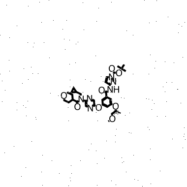 COC[C@H](C)Oc1cc(Oc2cnc(N(CC3CC3)C(=O)C3CCOCC3)cn2)cc(C(=O)Nc2ccn(C(=O)OC(C)(C)C)n2)c1